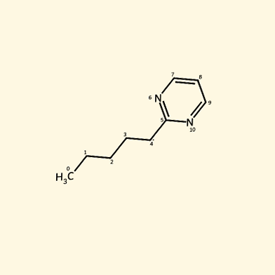 CCCC[CH]c1ncccn1